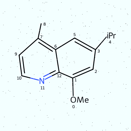 COc1cc(C(C)C)cc2c(C)ccnc12